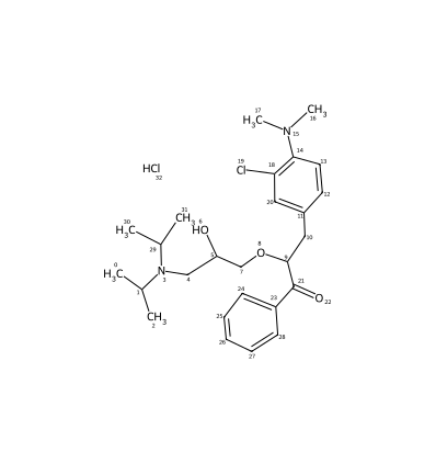 CC(C)N(CC(O)COC(Cc1ccc(N(C)C)c(Cl)c1)C(=O)c1ccccc1)C(C)C.Cl